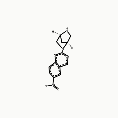 O=[N+]([O-])c1ccc2nc(N3C[C@@H]4C[C@H]3CN4)ccc2c1